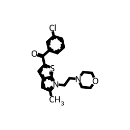 Cc1cc2cc(C(=O)c3cccc(Cl)c3)sc2n1CCN1CCOCC1